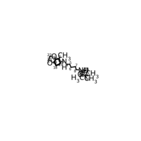 Cc1c(NCCCCCNS(=O)(=O)C(C)(C)C)ccc2c1OCCO2